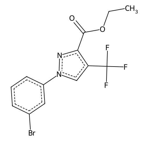 CCOC(=O)c1nn(-c2cccc(Br)c2)cc1C(F)(F)F